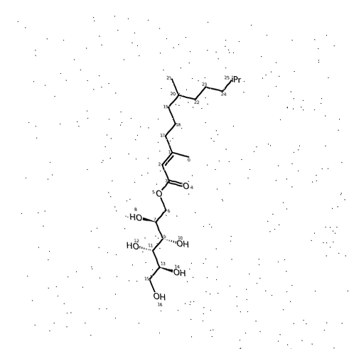 C/C(=C\C(=O)OC[C@H](O)[C@H](O)[C@@H](O)[C@@H](O)CO)CCCC(C)CCCC(C)C